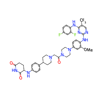 COc1cc(N2CCN(C(=O)CN3CCC(c4ccc(NC5CCC(=O)NC5=O)cc4)CC3)CC2)ccc1Nc1ncc(C(F)(F)F)c(Nc2ccc(F)cc2F)n1